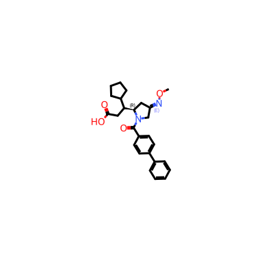 CO/N=C1\C[C@H](C(CC(=O)O)C2CCCC2)N(C(=O)c2ccc(-c3ccccc3)cc2)C1